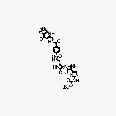 CCCCOc1c[nH]c(CNC(=O)c2ccc(S(=O)(=O)NC[C@H]3NC(=O)[C@H]3NC(=O)C(=N)c3csc(NC(=O)OC(C)(C)C)n3)cc2)cc1=O